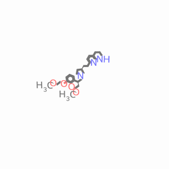 COCCOc1cccc([C@H](CC(=O)OC)CN2CC[C@@H](CCc3ccc4c(n3)NCCC4)C2)c1